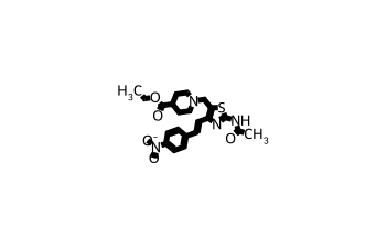 CCOC(=O)C1CCN(Cc2sc(NC(C)=O)nc2C=Cc2ccc([N+](=O)[O-])cc2)CC1